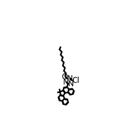 CCCCCCCCCCCOc1nc(Cl)nc(-c2cc3c(c4ccccc24)-c2c(ccc4ccccc24)C3(C)C)n1